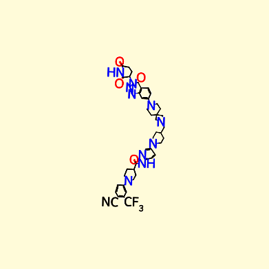 N#Cc1ccc(N2CCC(C(=O)Nc3ccc(N4CCC(CN5CC6(CCN(c7ccc8c(=O)n(C9CCC(=O)NC9=O)nnc8c7)CC6)C5)CC4)cn3)CC2)cc1C(F)(F)F